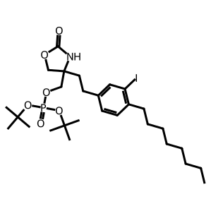 CCCCCCCCc1ccc(CCC2(COP(=O)(OC(C)(C)C)OC(C)(C)C)COC(=O)N2)cc1I